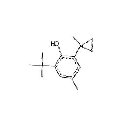 Cc1cc(C(C)(C)C)c(O)c(C2(C)CC2)c1